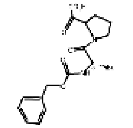 CCC(C)[C@H](NC(=O)OCc1ccccc1)C(=O)N1CCCC1C(=O)C(=O)O